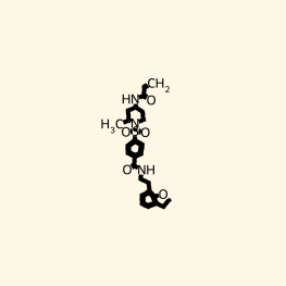 C=CC(=O)NC1CCN(S(=O)(=O)c2ccc(C(=O)NCCc3cccc4c3OCC4)cc2)C(C)C1